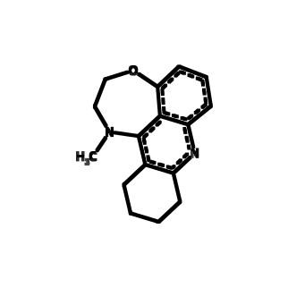 CN1CCOc2cccc3nc4c(c1c23)CCCC4